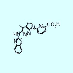 Cc1c(Nc2nc3ccccc3s2)nnc2c1CCN2c1cccc(C(=O)O)n1